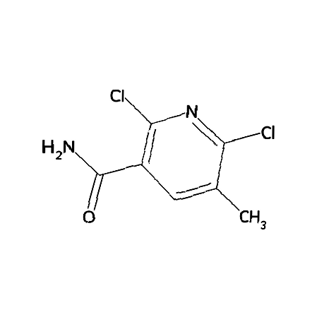 Cc1cc(C(N)=O)c(Cl)nc1Cl